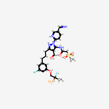 CC(F)(P)COc1cc(F)cc(CCCc2nn(-c3ccc(C=N)cn3)c(NC(=O)CS(C)(=O)=O)c2C=O)c1